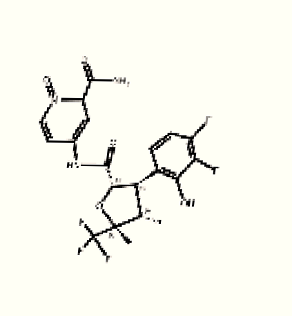 C[C@H]1[C@H](c2ccc(F)c(F)c2O)[C@@H](C(=O)NC2=CC(C(N)=O)[N+](=O)C=C2)O[C@@]1(C)C(F)(F)F